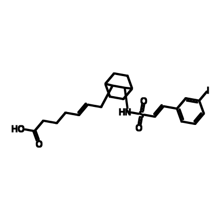 O=C(O)CCCC=CCC1C2CCC(CC2)C1NS(=O)(=O)C=Cc1cccc(I)c1